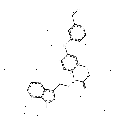 O=C1COc2cc(Nc3ccnc(CO)c3)ccc2N1CCc1c[nH]c2ccccc12